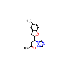 Cc1ccc2c(c1)CC(C(CC(=O)C(C)(C)C)n1cncn1)O2